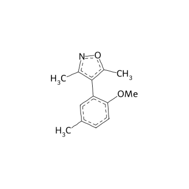 COc1ccc(C)cc1-c1c(C)noc1C